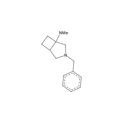 CNC12CCC1CN(Cc1ccccc1)C2